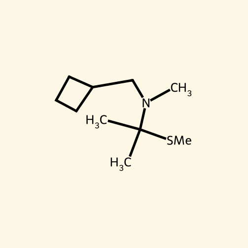 CSC(C)(C)N(C)CC1CCC1